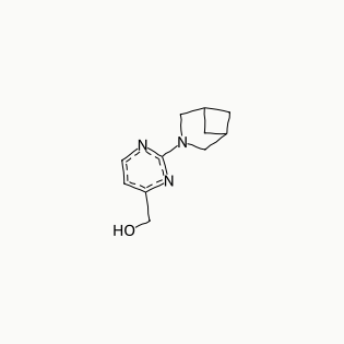 OCc1ccnc(N2CC3CC(C3)C2)n1